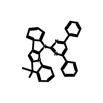 CC1(C)c2ccccc2-n2c1cc1c3ccccc3n(-c3nc(-c4ccccc4)cc(-c4ccccc4)n3)c12